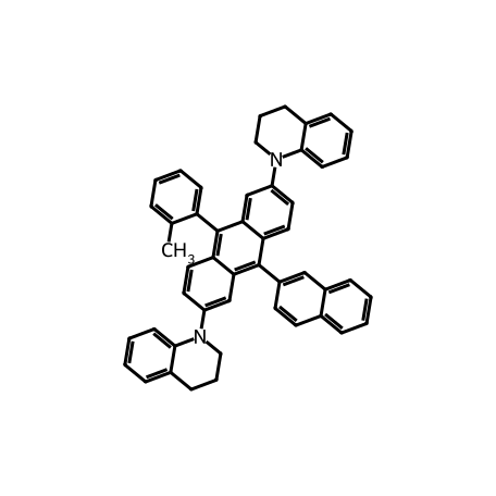 Cc1ccccc1-c1c2ccc(N3CCCc4ccccc43)cc2c(-c2ccc3ccccc3c2)c2ccc(N3CCCc4ccccc43)cc12